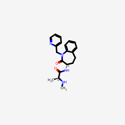 CN[C@@H](C)C(=O)N[C@H]1CCc2ccccc2N(Cc2ccccn2)C1=O